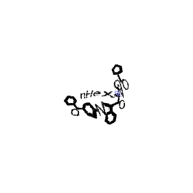 CCCCCC/C(=N\OC(=O)c1ccccc1)C(=O)c1cn(-c2ccc(C(=O)c3ccccc3)cc2)c2ccccc12